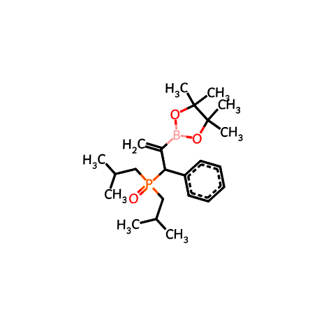 C=C(B1OC(C)(C)C(C)(C)O1)C(c1ccccc1)P(=O)(CC(C)C)CC(C)C